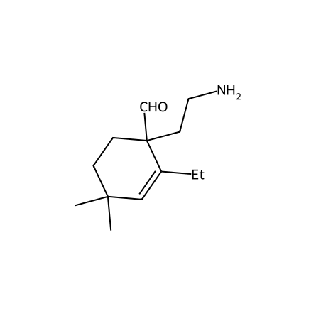 CCC1=CC(C)(C)CCC1(C=O)CCN